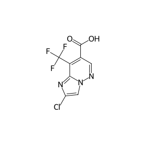 O=C(O)c1cnn2cc(Cl)nc2c1C(F)(F)F